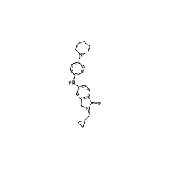 O=C1c2ccc(Nc3ccc(N4CCCCC4)cc3)cc2CN1CC1CC1